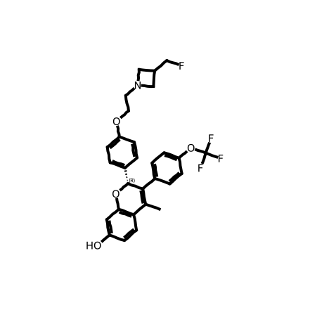 CC1=C(c2ccc(OC(F)(F)F)cc2)[C@@H](c2ccc(OCCN3CC(CF)C3)cc2)Oc2cc(O)ccc21